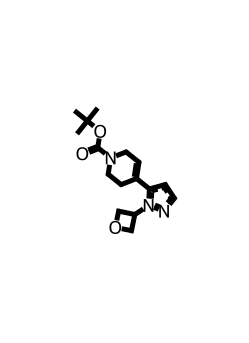 CC(C)(C)OC(=O)N1CC=C(c2ccnn2C2COC2)CC1